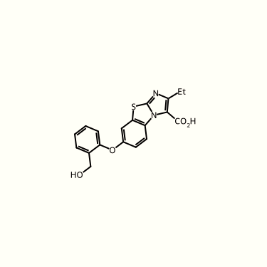 CCc1nc2sc3cc(Oc4ccccc4CO)ccc3n2c1C(=O)O